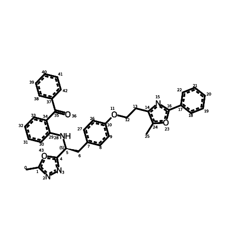 Cc1nnc([C@H](Cc2ccc(OCCc3nc(-c4ccccc4)oc3C)cc2)Nc2ccccc2C(=O)c2ccccc2)o1